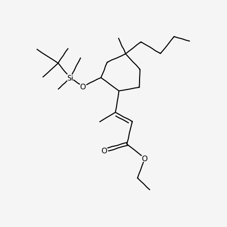 CCCCC1(C)CCC(C(C)=CC(=O)OCC)C(O[Si](C)(C)C(C)(C)C)C1